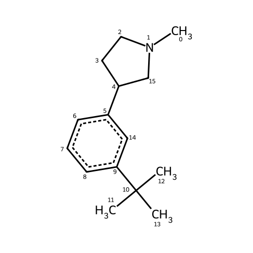 CN1CCC(c2cccc(C(C)(C)C)c2)C1